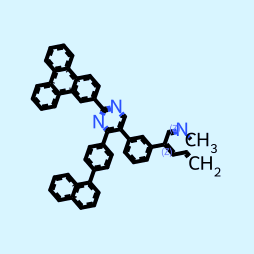 C=C/C=C(\C=N/C)c1cccc(-c2cnc(-c3ccc4c5ccccc5c5ccccc5c4c3)nc2-c2ccc(-c3cccc4ccccc34)cc2)c1